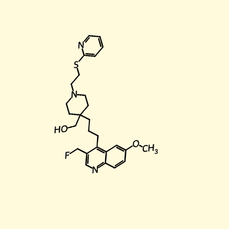 COc1ccc2ncc(CF)c(CCCC3(CO)CCN(CCSc4ccccn4)CC3)c2c1